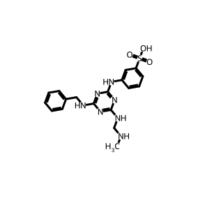 CNCNc1nc(NCc2ccccc2)nc(Nc2cccc(S(=O)(=O)O)c2)n1